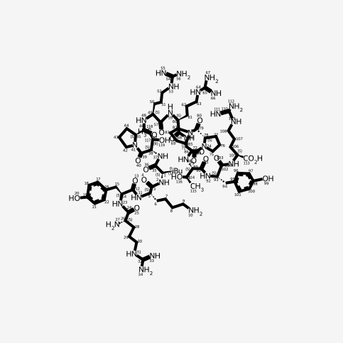 CC[C@H](C)[C@H](NC(=O)[C@H](CCCCN)NC(=O)[C@H](Cc1ccc(O)cc1)NC(=O)[C@@H](N)CCCNC(=N)N)C(=O)N[C@H](C(=O)N1CCC[C@H]1C(=O)N[C@@H](CCCNC(=N)N)C(=O)N[C@@H](CCCNC(=N)N)C(=O)NCC(=O)N1CCC[C@H]1C(=O)N1CCC[C@H]1C(=O)N[C@H](C(=O)N[C@@H](Cc1ccc(O)cc1)C(=O)N[C@@H](CCCNC(=N)N)C(=O)O)[C@@H](C)O)[C@@H](C)O